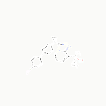 CC(C)(O)c1cccn2c(C3(c4ccc(-c5ccc(F)cc5)cc4)CC3)nnc12